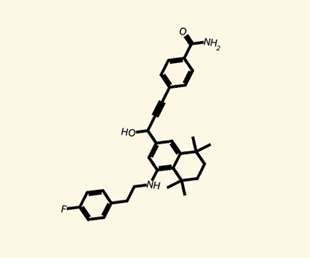 CC1(C)CCC(C)(C)c2c(NCCc3ccc(F)cc3)cc(C(O)C#Cc3ccc(C(N)=O)cc3)cc21